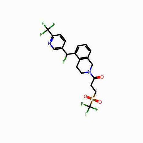 O=C(CCS(=O)(=O)C(F)(F)F)N1CCc2c(cccc2C(F)c2ccc(C(F)(F)F)nc2)C1